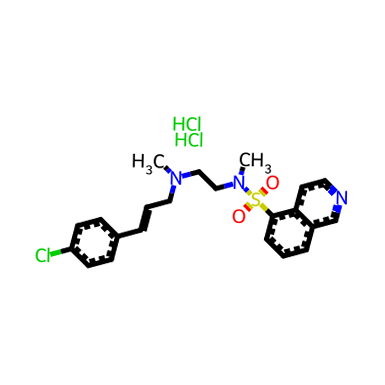 CN(CC=Cc1ccc(Cl)cc1)CCN(C)S(=O)(=O)c1cccc2cnccc12.Cl.Cl